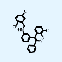 FC(F)(F)c1ccc(Cl)cc1CNc1cccc(-c2c(-c3ccccc3)nnc3c(Cl)cccc23)c1